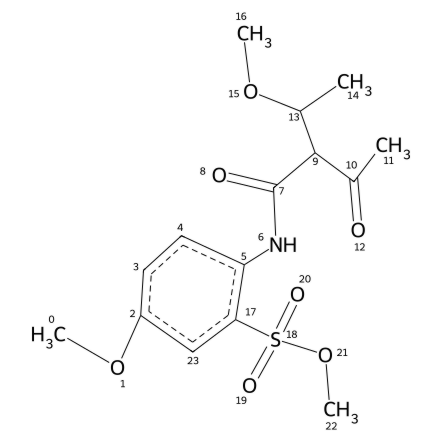 COc1ccc(NC(=O)C(C(C)=O)C(C)OC)c(S(=O)(=O)OC)c1